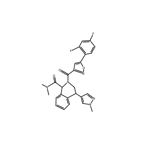 CN(C)C(=O)C1c2ccccc2C(c2cnn(C)c2)CN1C(=O)c1cc(-c2ccc(F)cc2F)on1